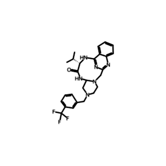 CC(C)[C@@H]1Nc2nc(nc3ccccc23)CN2CCN(Cc3cccc(C(F)(F)F)c3)CC2NC1=O